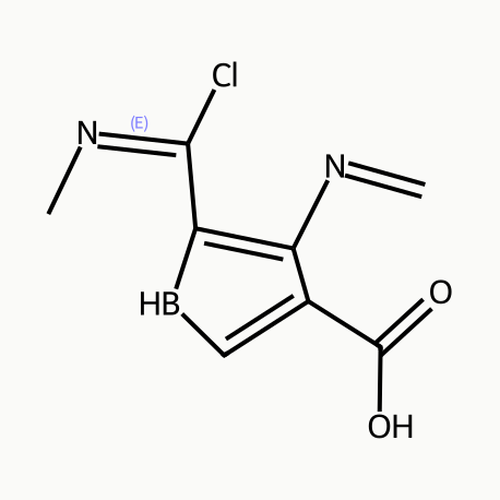 C=NC1=C(/C(Cl)=N\C)BC=C1C(=O)O